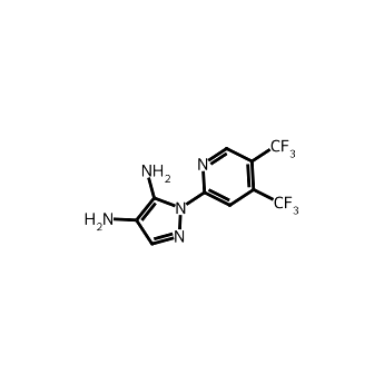 Nc1cnn(-c2cc(C(F)(F)F)c(C(F)(F)F)cn2)c1N